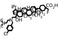 CC(C)[C@@H]1CC[C@]2([C@@H](O)CN(CCN(C)C)Cc3ccc(Cl)cc3)CC[C@]3(C)[C@H](CC[C@@H]4[C@@]5(C)CC=C(C6=CC[C@](CF)(C(=O)O)CC6)C(C)(C)[C@@H]5CC[C@]43C)[C@@H]12